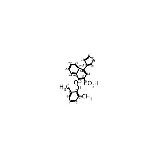 Cc1cccc(C)c1COc1c(C(=O)O)cc(-c2ccsc2)c2ccccc12